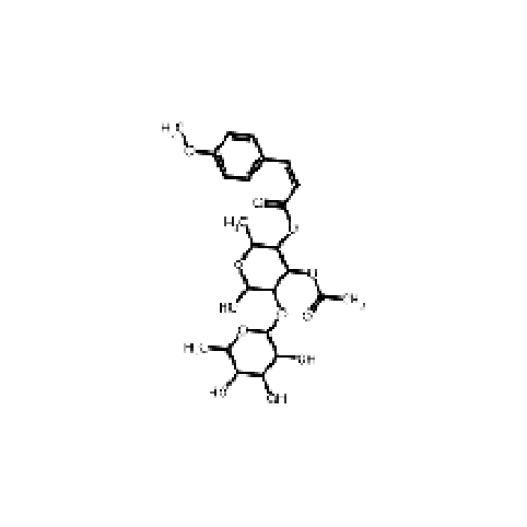 COc1ccc(/C=C\C(=O)OC2C(C)OC(O)C(OC3OC(C)C(O)C(O)C3O)C2OC(C)=O)cc1